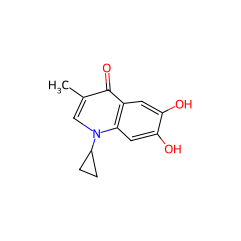 Cc1cn(C2CC2)c2cc(O)c(O)cc2c1=O